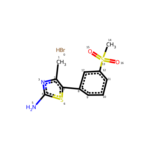 Br.Cc1nc(N)sc1-c1cccc(S(C)(=O)=O)c1